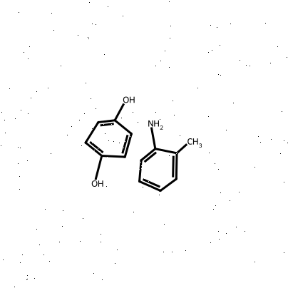 Cc1ccccc1N.Oc1ccc(O)cc1